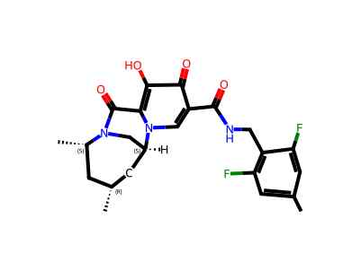 Cc1cc(F)c(CNC(=O)c2cn3c(c(O)c2=O)C(=O)N2C[C@@H]3C[C@H](C)C[C@@H]2C)c(F)c1